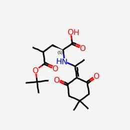 CC(N[C@@H](CC(C)C(=O)OC(C)(C)C)C(=O)O)=C1C(=O)CC(C)(C)CC1=O